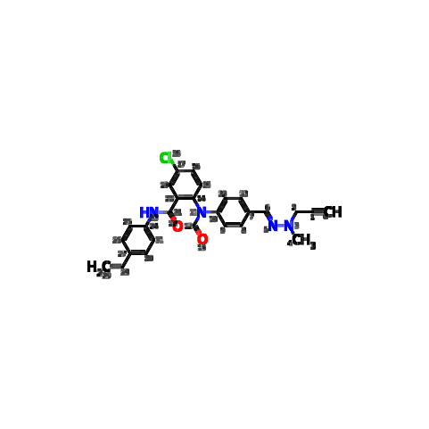 C#CCN(C)N=Cc1ccc(N(C=O)c2ccc(Cl)cc2C(=O)Nc2ccc(C=C)cc2)cc1